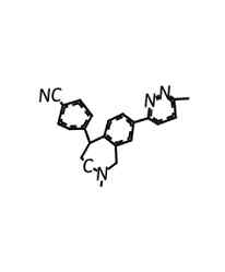 Cc1ccc(-c2ccc3c(c2)CN(C)CCC3c2ccc(C#N)cc2)nn1